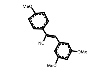 COc1ccc(C(C#N)=Cc2cc(OC)cc(OC)c2)cc1